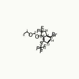 CCOCO[C@H]1c2c(SC(F)(F)F)ccc(Br)c2CC1(F)F